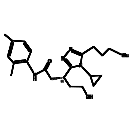 Cc1ccc(NC(=O)C[C@@H](CCO)c2nnc(CCCC(C)(C)C)n2C2CC2)c(C)c1